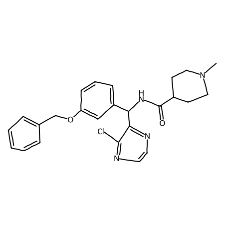 CN1CCC(C(=O)NC(c2cccc(OCc3ccccc3)c2)c2nccnc2Cl)CC1